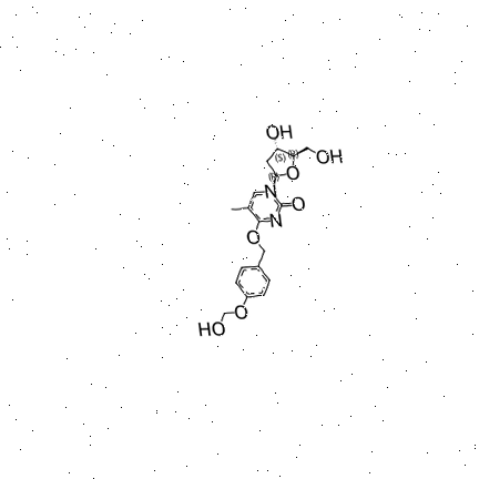 Cc1cn([C@H]2C[C@H](O)[C@@H](CO)O2)c(=O)nc1OCc1ccc(OCO)cc1